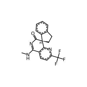 CNC1=NC(=O)[C@@]2(CCc3ccccc32)c2nc(C(F)(F)F)ccc21